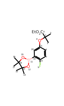 CCOC(=O)C(C)(C)Oc1ccc(F)c(B2OC(C)(C)C(C)(C)O2)c1